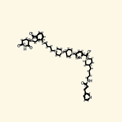 O=C(/C=C/c1cccnc1)NCCCCC1CCN(C(=O)c2ccc(N3CCC(N4CCN(CCCCSc5cccc6c5CN(C5CCC(=O)NC5=O)C6=O)CC4)CC3)nn2)CC1